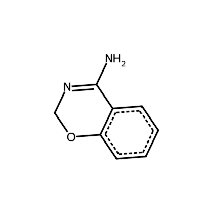 NC1=NCOc2ccccc21